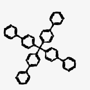 c1ccc(-c2ccc(C(c3ccc(-c4ccccc4)cc3)(c3ccc(-c4ccccc4)cc3)c3ccc(-c4ccccc4)cc3)cc2)cc1